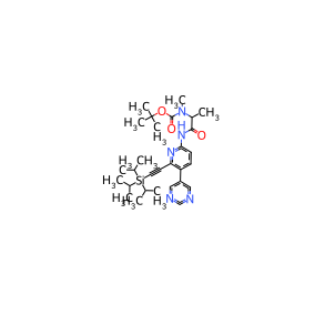 CC(C(=O)Nc1ccc(-c2cncnc2)c(C#C[Si](C(C)C)(C(C)C)C(C)C)n1)N(C)C(=O)OC(C)(C)C